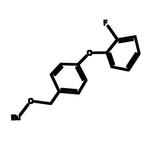 CCC(C)OCc1ccc(Oc2ccccc2F)cc1